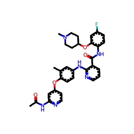 CC(=O)Nc1cc(Oc2ccc(Nc3ncccc3C(=O)Nc3ccc(F)cc3OC3CCN(C)CC3)cc2C)ccn1